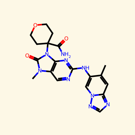 Cc1cc2ncnn2cc1Nc1ncc2c(n1)n(C1(C(N)=O)CCOCC1)c(=O)n2C